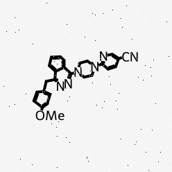 COc1ccc(Cc2nnc(N3CCN(c4ccc(C#N)cn4)CC3)c3ccccc23)cc1